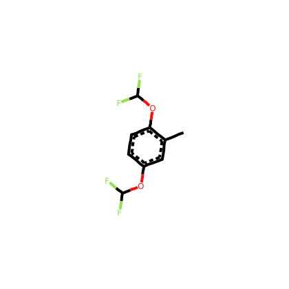 Cc1cc(OC(F)F)ccc1OC(F)F